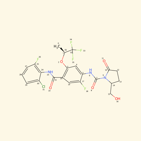 C[C@H](Oc1cc(NC(=O)N2C(=O)CCC2CO)c(F)cc1C(=O)Nc1c(F)cccc1Cl)C(F)(F)F